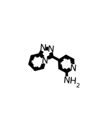 Nc1cc(-c2nnc3ccccn23)ccn1